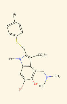 CCOC(=O)c1c(CSc2ccc(C(C)C)cc2)n(C(C)C)c2cc(Br)c(O)c(CN(C)C)c12